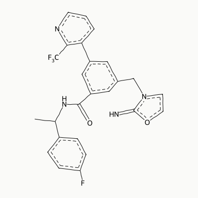 CC(NC(=O)c1cc(Cn2ccoc2=N)cc(-c2cccnc2C(F)(F)F)c1)c1ccc(F)cc1